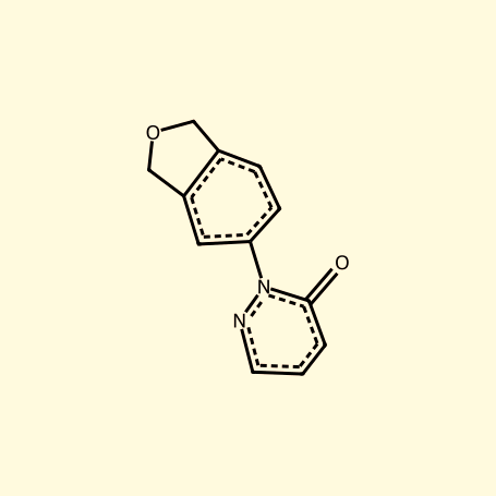 O=c1cccnn1-c1ccc2c(c1)COC2